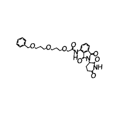 O=C1CCC(N2C(=O)c3cccc(NC(=O)COCCCOCCCOCc4ccccc4)c3C2=O)C(=O)N1